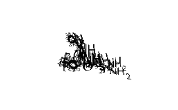 NCCN(CN)C(=S)CC[C@H](N)C(=O)N[C@H](Cc1ccc(C(F)(F)F)cc1)C(=O)Nc1cnc2ccccc2c1